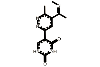 C/N=C(/C)c1cc(-c2c[nH]c(=O)[nH]c2=O)nnc1C